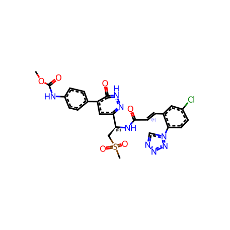 COC(=O)Nc1ccc(-c2cc([C@H](CS(C)(=O)=O)NC(=O)/C=C/c3cc(Cl)ccc3-n3cnnn3)n[nH]c2=O)cc1